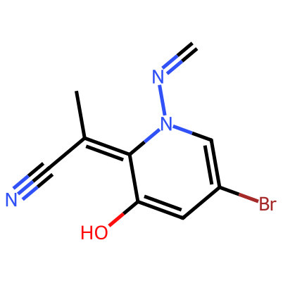 C=NN1C=C(Br)C=C(O)/C1=C(/C)C#N